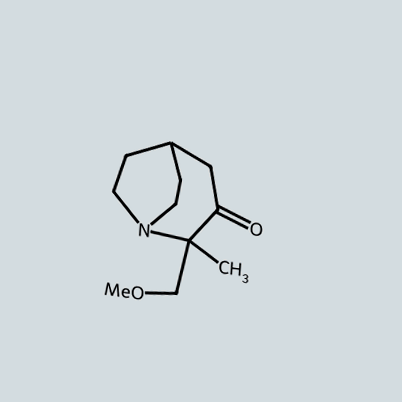 COCC1(C)C(=O)CC2CCN1CC2